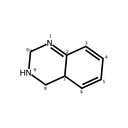 [C]1N=C2C=CC=CC2CN1